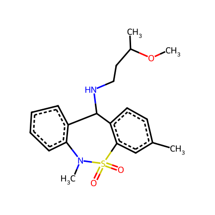 COC(C)CCNC1c2ccccc2N(C)S(=O)(=O)c2cc(C)ccc21